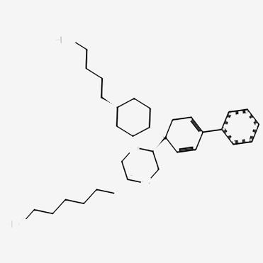 CCCCCCC[C@@H]1CO[C@@H](C2([C@H]3CC[C@H](CCCCC)CC3)C=CC(c3ccccc3)=CC2)CO1